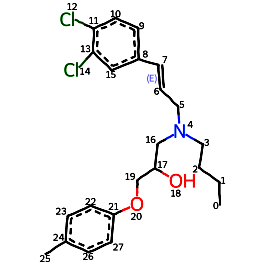 CCCCN(C/C=C/c1ccc(Cl)c(Cl)c1)CC(O)COc1ccc(C)cc1